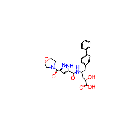 O=C(NC(Cc1ccc(-c2ccccc2)cc1)C[C@@H](O)C(=O)O)c1cc(C(=O)N2CCOCC2)n[nH]1